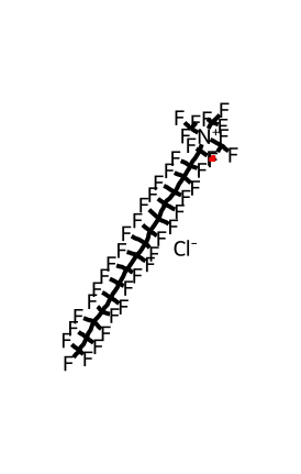 FC(F)(F)C(F)(F)C(F)(F)C(F)(F)C(F)(F)C(F)(F)C(F)(F)C(F)(F)C(F)(F)C(F)(F)C(F)(F)C(F)(F)C(F)(F)C(F)(F)C(F)(F)C(F)(F)[N+](C(F)(F)F)(C(F)(F)F)C(F)(F)F.[Cl-]